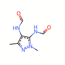 Cc1nn(C)c(NC=O)c1NC=O